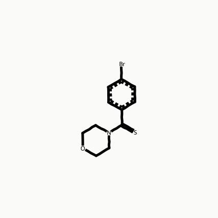 S=C(c1ccc(Br)cc1)N1CCOCC1